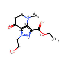 CCOC(=O)c1nn(CCO)c2c1N(C)CCC2=O